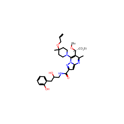 C=CCOC1(C)CCN(c2c([C@H](OC(C)(C)C)C(=O)OCC)c(C)nc3cc(C(=O)NCC(O)Cc4ccccc4O)nn23)CC1